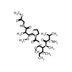 CC[C@H](C)C([C@@H](CC(=O)N1CCC[C@H]1[C@H](OC)C(C)C(=O)NCC(=O)OC)OC)N(C)C(=O)[C@@H](N)C(C)C